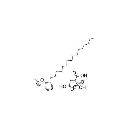 CCCCCCCCCCCCCCCCc1ccccc1O[CH](C)[Na].O=C(O)CC(C(=O)O)S(=O)(=O)O